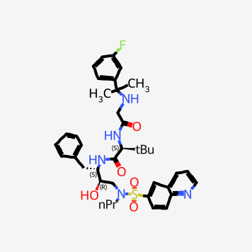 CCCN(C[C@@H](O)[C@H](Cc1ccccc1)NC(=O)[C@@H](NC(=O)CNC(C)(C)c1cccc(F)c1)C(C)(C)C)S(=O)(=O)c1ccc2ncccc2c1